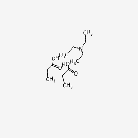 CCC(=O)O.CCC(=O)O.CCN(CC)CC